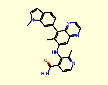 Cc1nccc(C(N)=O)c1Nc1cc2nccnc2c(-c2ccc3ccn(C)c3c2)c1C